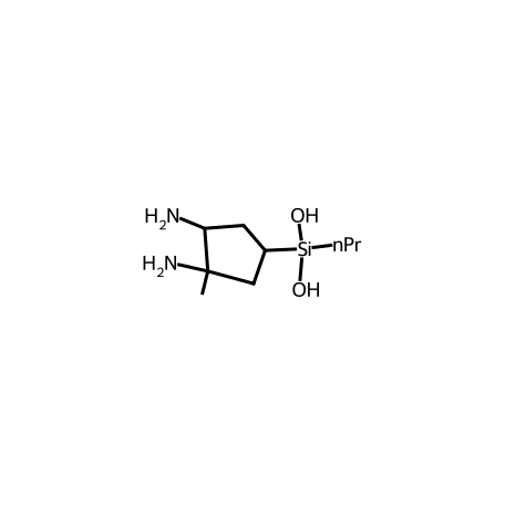 CCC[Si](O)(O)C1CC(N)C(C)(N)C1